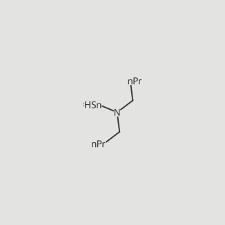 CCCC[N]([SnH])CCCC